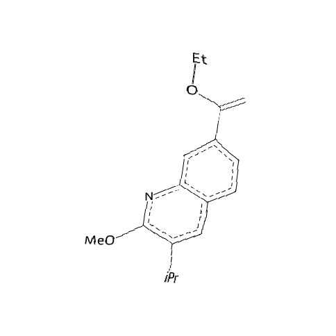 C=C(OCC)c1ccc2cc(C(C)C)c(OC)nc2c1